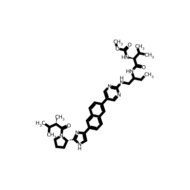 CCC(CNc1ncc(-c2ccc3cc(-c4c[nH]c([C@@H]5CCCN5C(=O)[C@@H](C)C(C)C)n4)ccc3c2)cn1)NC(=O)[C@@H](NC(=O)OC)C(C)C